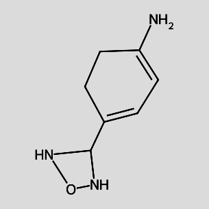 NC1=CC=C(C2NON2)CC1